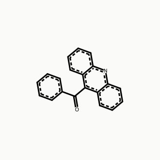 O=C(c1ccccc1)c1c2ccccc2nc2ccccc12